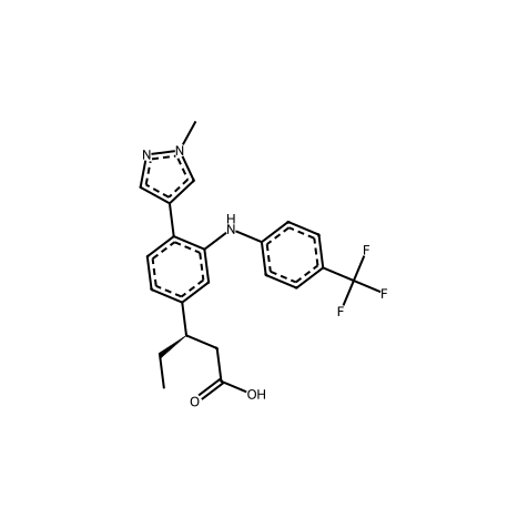 CC[C@H](CC(=O)O)c1ccc(-c2cnn(C)c2)c(Nc2ccc(C(F)(F)F)cc2)c1